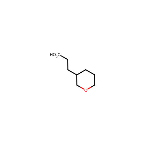 O=C(O)CCC1CCCOC1